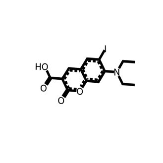 CCN(CC)c1cc2oc(=O)c(C(=O)O)cc2cc1I